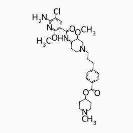 COc1nc(N)c(Cl)cc1C(=O)N[C@@H]1CCN(CCCc2ccc(C(=O)OC3CCN(C)CC3)cc2)C[C@@H]1OC